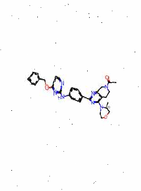 CC(=O)N1CCc2c(nc(-c3ccc(Nc4nccc(OCc5ccccc5)n4)cc3)nc2N2CCOC[C@@H]2C)C1